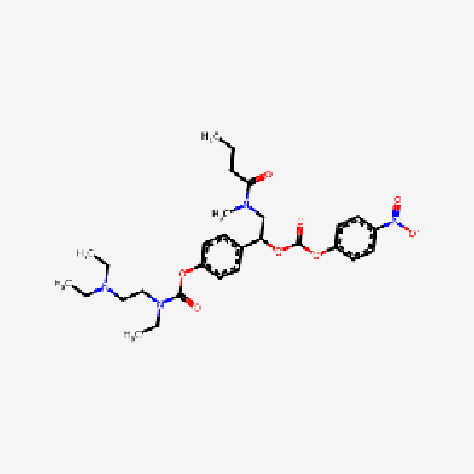 CCCC(=O)N(C)CC(OC(=O)Oc1ccc([N+](=O)[O-])cc1)c1ccc(OC(=O)N(CC)CCN(CC)CC)cc1